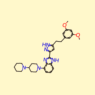 COc1cc(CCc2cc(-c3nc4c(N5CCC(N6CCCCC6)CC5)cccc4[nH]3)n[nH]2)cc(OC)c1